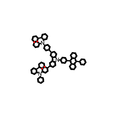 c1ccc(-c2ccccc2N(c2ccccc2)c2ccc(-c3ccc4c(c3)c3cc(-c5ccc(N(c6ccccc6)c6ccccc6-c6ccccc6)cc5)ccc3n4-c3ccc(-c4c5ccccc5c(-c5ccccc5)c5ccccc45)cc3)cc2)cc1